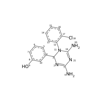 NC1=NC(c2cccc(O)c2)N(c2ccccc2Cl)C(N)=N1